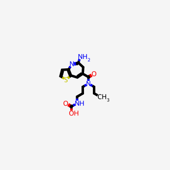 CCCN(CCCNC(=O)O)C(=O)C1=Cc2sccc2N=C(N)C1